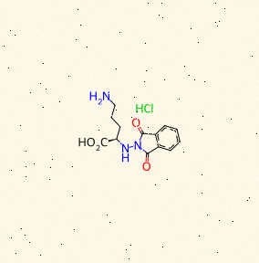 Cl.NCCC[C@@H](NN1C(=O)c2ccccc2C1=O)C(=O)O